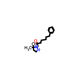 CC1(C)CC[N]N1C(=O)CCCCCc1ccccc1